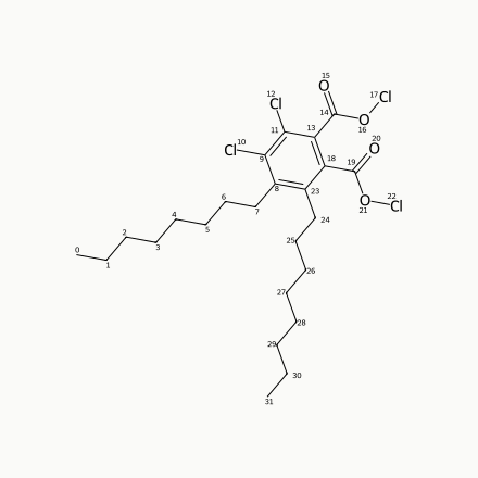 CCCCCCCCc1c(Cl)c(Cl)c(C(=O)OCl)c(C(=O)OCl)c1CCCCCCCC